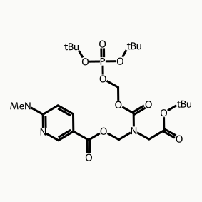 CNc1ccc(C(=O)OCN(CC(=O)OC(C)(C)C)C(=O)OCOP(=O)(OC(C)(C)C)OC(C)(C)C)cn1